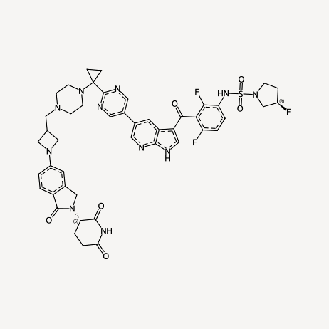 O=C1CC[C@H](N2Cc3cc(N4CC(CN5CCN(C6(c7ncc(-c8cnc9[nH]cc(C(=O)c%10c(F)ccc(NS(=O)(=O)N%11CC[C@@H](F)C%11)c%10F)c9c8)cn7)CC6)CC5)C4)ccc3C2=O)C(=O)N1